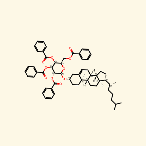 CC(C)CCC[C@@H](C)[C@H]1CC[C@H]2[C@@H]3CC=C4C[C@@H](O[C@@H]5O[C@H](COC(=O)c6ccccc6)[C@H](OC(=O)c6ccccc6)[C@H](OC(=O)c6ccccc6)[C@H]5OC(=O)c5ccccc5)CC[C@]4(C)[C@H]3CC[C@]12C